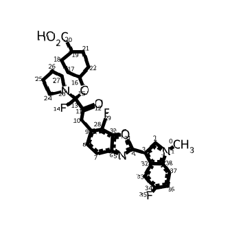 Cn1cc(-c2nc3ccc(CC(=O)C(F)(OC4CCC(C(=O)O)CC4)N4CCCC4)c(F)c3o2)c2cc(F)ccc21